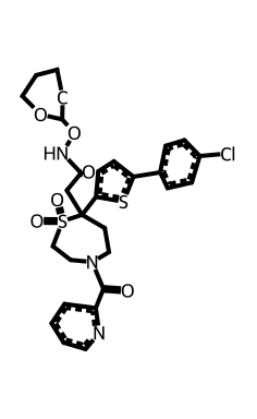 O=C(CC1(c2ccc(-c3ccc(Cl)cc3)s2)CCN(C(=O)c2ccccn2)CCS1(=O)=O)NOC1CCCCO1